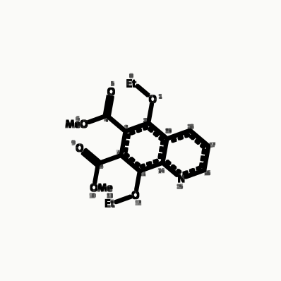 CCOc1c(C(=O)OC)c(C(=O)OC)c(OCC)c2ncccc12